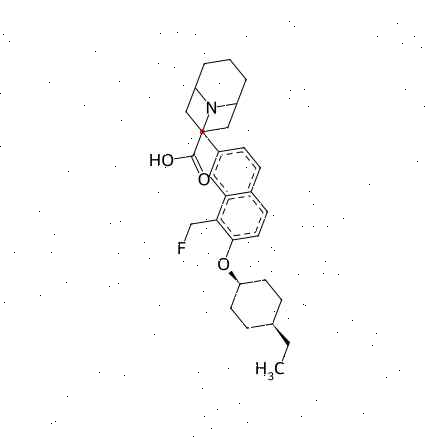 CC[C@H]1CC[C@@H](Oc2ccc3ccc(CN4C5CCCC4CC(C(=O)O)C5)cc3c2CF)CC1